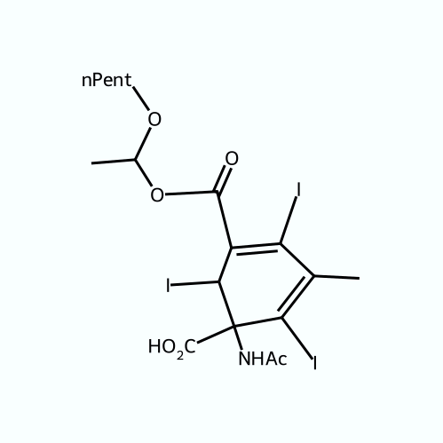 CCCCCOC(C)OC(=O)C1=C(I)C(C)=C(I)C(NC(C)=O)(C(=O)O)C1I